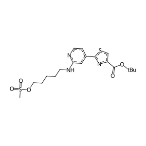 CC(C)(C)OC(=O)c1csc(-c2ccnc(NCCCCCOS(C)(=O)=O)c2)n1